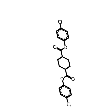 O=C(Oc1ccc(Cl)cc1)C1CCC(C(=O)Oc2ccc(Cl)cc2)CC1